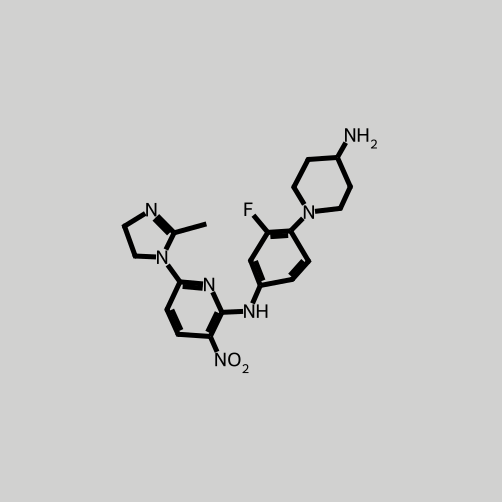 CC1=NCCN1c1ccc([N+](=O)[O-])c(Nc2ccc(N3CCC(N)CC3)c(F)c2)n1